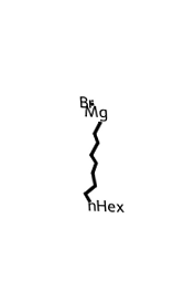 CCCCCCCCCCCCC[CH2][Mg][Br]